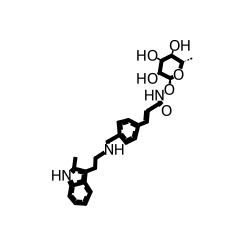 Cc1[nH]c2ccccc2c1CCNCc1ccc(/C=C/C(=O)NO[C@@H]2O[C@@H](C)[C@@H](O)[C@@H](O)[C@@H]2O)cc1